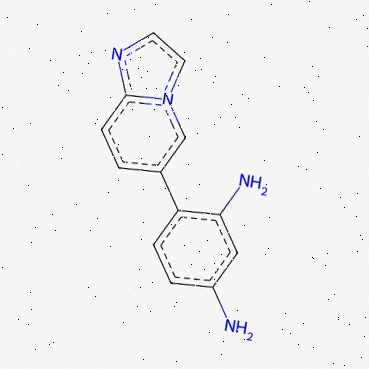 Nc1ccc(-c2ccc3nccn3c2)c(N)c1